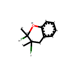 CC1(F)Cc2ccccc2OC1(C)F